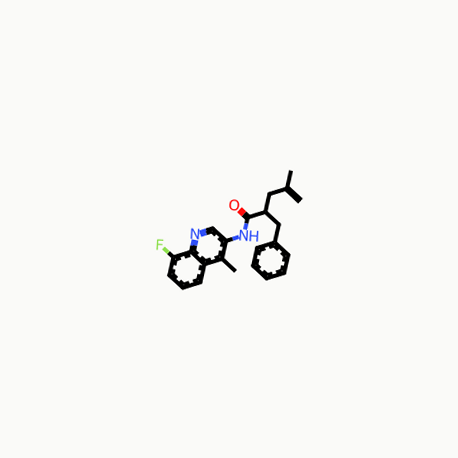 C=C(C)CC(Cc1ccccc1)C(=O)Nc1cnc2c(F)cccc2c1C